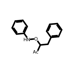 CC(=O)C(Cc1ccccc1)ONc1ccccc1